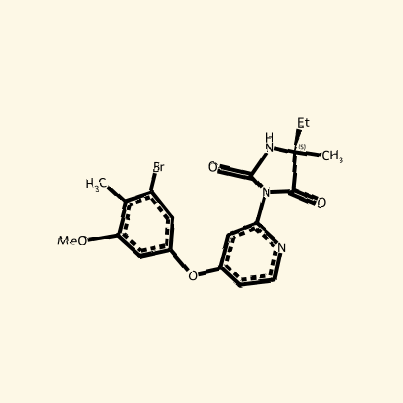 CC[C@]1(C)NC(=O)N(c2cc(Oc3cc(Br)c(C)c(OC)c3)ccn2)C1=O